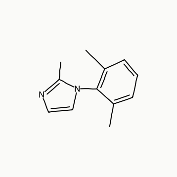 Cc1cccc(C)c1-n1ccnc1C